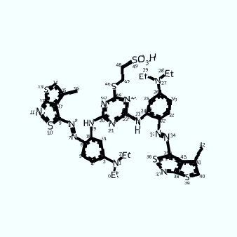 CCN(CC)c1ccc(/N=N/c2snc3scc(C)c23)c(Nc2nc(Nc3cc(N(CC)CC)ccc3/N=N/c3snc4scc(C)c34)nc(SCCS(=O)(=O)O)n2)c1